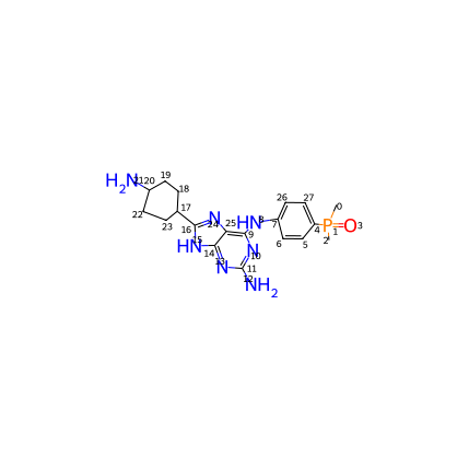 CP(C)(=O)c1ccc(Nc2nc(N)nc3[nH]c(C4CCC(N)CC4)nc23)cc1